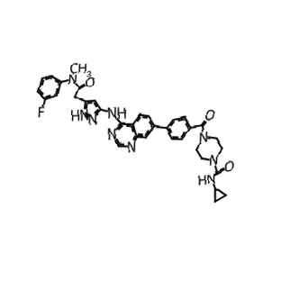 CN(C(=O)Cc1cc(Nc2ncnc3cc(-c4ccc(C(=O)N5CCN(C(=O)NC6CC6)CC5)cc4)ccc23)n[nH]1)c1cccc(F)c1